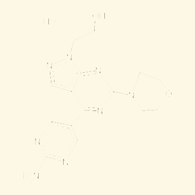 C[C@H](CO)n1ncc2c(-c3cnc(N)nc3)nc(N3CCOCC3)nc21